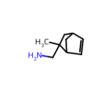 CC1(CN)CC2C=CC1C2